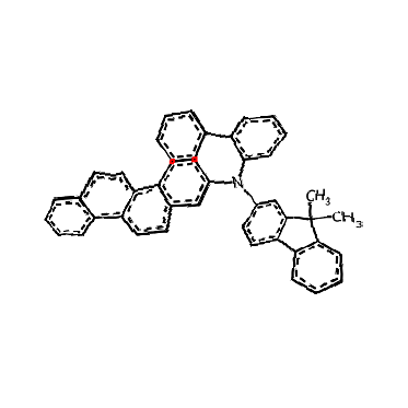 CC1(C)c2ccccc2-c2ccc(N(c3ccc4c(ccc5c6ccccc6ccc45)c3)c3ccccc3-c3ccccc3)cc21